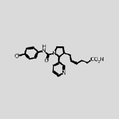 O=C(O)CC/C=C\CC1CCN(C(=O)Nc2ccc(Cl)cc2)C1c1cccnc1